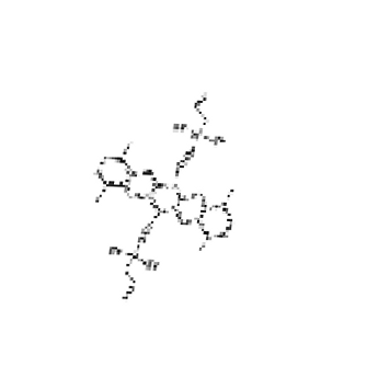 C=CC[Si](C#Cc1c2cc3c(C)ccc(C)c3cc2c(C#C[Si](CC=C)(C(C)C)C(C)C)c2cc3c(C)ccc(C)c3cc12)(C(C)C)C(C)C